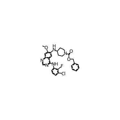 COc1cc2ncnc(Nc3cccc(Cl)c3F)c2cc1NC1CCN(C(=O)OCc2ccccc2)CC1